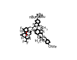 CCC[CH2][Sn]([CH2]CCC)([CH2]CCC)[c]1ccc2c(=O)n(-c3ccc(Cl)c4c(N(Cc5ccc(OC)cc5)S(C)(=O)=O)nn(C)c34)c([C@H](Cc3cc(F)cc(F)c3)NC(=O)Cn3nc(C(F)F)c4c3C(F)(F)[C@@H]3C[C@H]43)nc2c1